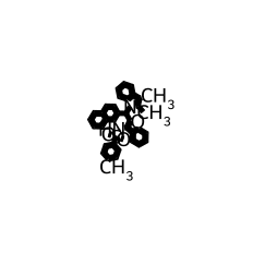 Cc1ccc(S(=O)(=O)Nc2c(C(c3ccc4ccccc4c3)n3c(C)c(C)c4ccccc43)oc3ccccc23)cc1